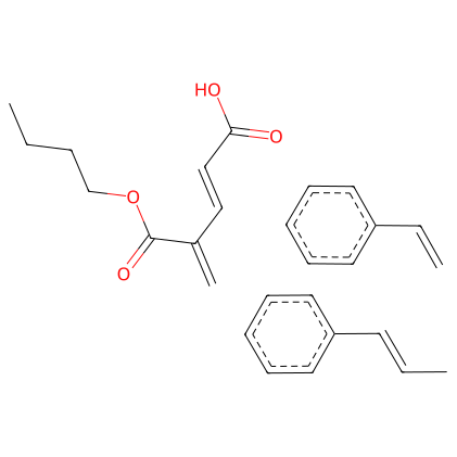 C=C(C=CC(=O)O)C(=O)OCCCC.C=Cc1ccccc1.CC=Cc1ccccc1